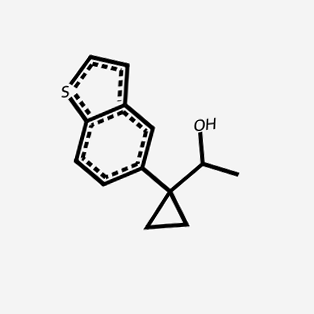 CC(O)C1(c2ccc3sccc3c2)CC1